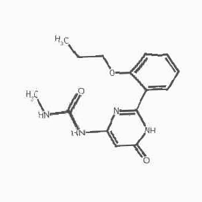 CCCOc1ccccc1-c1nc(NC(=O)NC)cc(=O)[nH]1